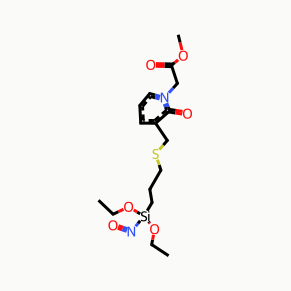 CCO[Si](CCCSCc1cccn(CC(=O)OC)c1=O)(N=O)OCC